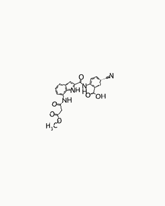 COC(=O)CC(=O)Nc1cccc2cc(C(=O)Nc3ccc(C#N)cc3C(=O)O)[nH]c12